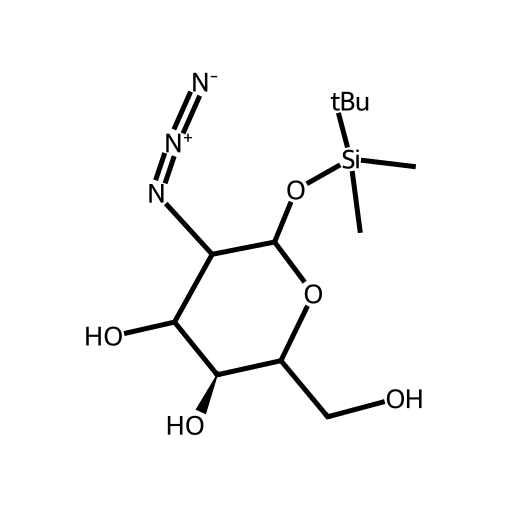 CC(C)(C)[Si](C)(C)OC1OC(CO)[C@@H](O)C(O)C1N=[N+]=[N-]